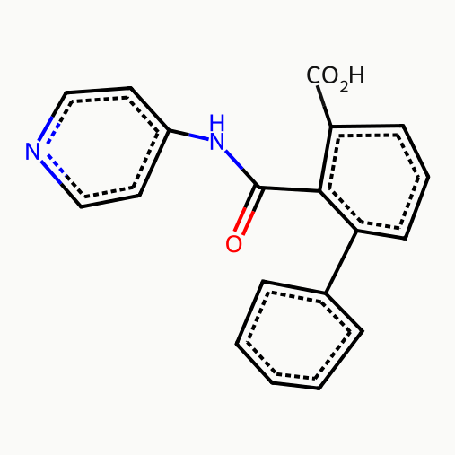 O=C(O)c1cccc(-c2ccccc2)c1C(=O)Nc1ccncc1